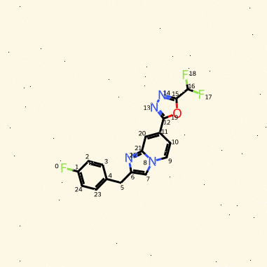 Fc1ccc(Cc2cn3ccc(-c4nnc(C(F)F)o4)cc3n2)cc1